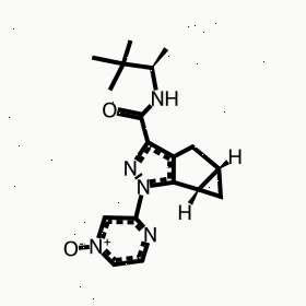 C[C@@H](NC(=O)c1nn(-c2c[n+]([O-])ccn2)c2c1C[C@@H]1C[C@H]21)C(C)(C)C